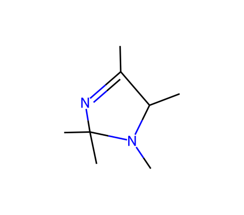 CC1=NC(C)(C)N(C)C1C